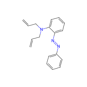 C=CCN(CC=C)c1ccccc1N=Nc1ccccc1